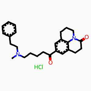 CN(CCCCC(=O)c1cc2c3c(c1)CCC(=O)N3CCC2)CCc1ccccc1.Cl